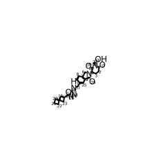 O=C1CCC(N2Cc3ccc(CNc4nnc(C5CC6(CCC6)C5)o4)cc3C2=O)C(=O)N1CO